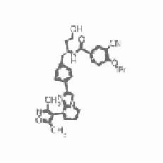 Cc1noc(C)c1-c1cccn2cc(-c3ccc(C[C@@H](CCO)NC(=O)c4ccc(OC(C)C)c(C#N)c4)cc3)nc12